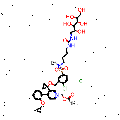 CCN(CCCCNC(=O)NCC(O)C(O)C(O)C(O)CO)S(=O)(=O)c1ccc(Cl)c(COC2(c3c[n+](COC(=O)C(C)(C)C)ccc3-c3ccccc3OC3CC3)CC2)c1.[Cl-]